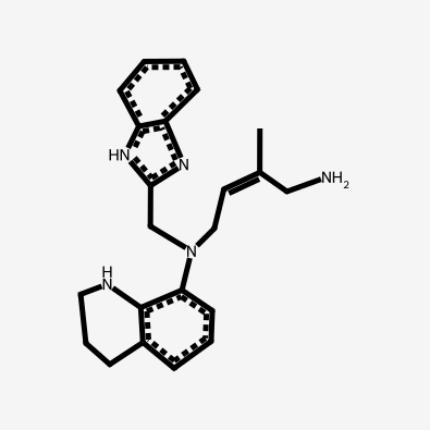 CC(=CCN(Cc1nc2ccccc2[nH]1)c1cccc2c1NCCC2)CN